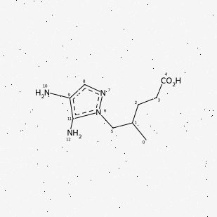 CC(CCC(=O)O)Cn1ncc(N)c1N